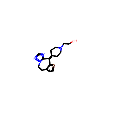 OCCN1CCC(=C2c3sccc3CCn3ncnc32)CC1